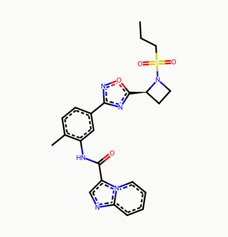 CCCS(=O)(=O)N1CC[C@H]1c1nc(-c2ccc(C)c(NC(=O)c3cnc4ccccn34)c2)no1